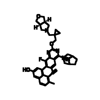 C#Cc1c(C)ccc2cc(O)cc(-c3c(C)cc4c(N5CC6CCC(C5)N6)nc(OCC5(CN6C[C@H]7COC[C@H]7C6)CC5)nc4c3F)c12